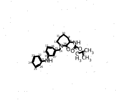 CC(C)(C)OC(=O)NC1CCCCN(Cc2cccc(Nc3ccccc3)c2)C1=O